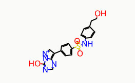 O=S(=O)(Nc1ccc(CCO)cc1)c1ccc(-c2cnn3c(O)ncnc23)cc1